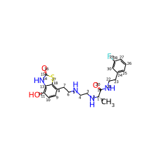 C[C@H](NCCNCCc1ccc(O)c2[nH]c(=O)sc12)C(=O)NCCc1cccc(F)c1